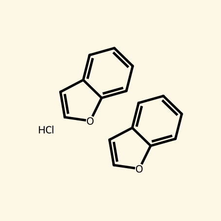 Cl.c1ccc2occc2c1.c1ccc2occc2c1